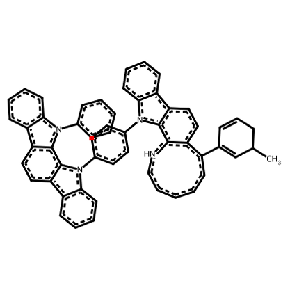 CC1C=C(c2ccccc[nH]c3c2ccc2c4ccccc4n(-c4ccc(-n5c6ccccc6c6ccc7c8ccccc8n(-c8ccccc8)c7c65)cc4)c23)C=CC1